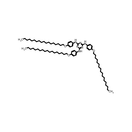 CCCCCCCCCCCCCCCCCCOc1ccc(Nc2nc(Nc3ccc(OCCCCCCCCCCCCCCCCCC)cc3)nc(Nc3ccc(OCCCCCCCCCCCCCCCCCC)cc3)n2)cc1